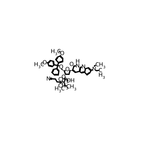 CCN(CC)c1ccc2cc3cc([C@H]4C[C@@H](OP(O)N(C(C)C)C(C)(C)CCC#N)[C@@H](COC(c5ccccc5)(c5ccc(OC)cc5)c5ccc(OC)cc5)O4)c(=O)[nH]c3nc2c1